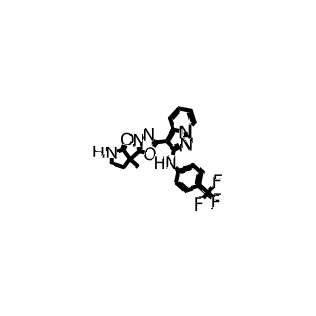 CC1(c2nnc(-c3c(Nc4ccc(C(F)(F)F)cc4)nn4ccccc34)o2)CCNC1=O